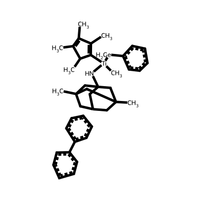 CC1=C(C)C(C)[C]([Ti]([CH3])([NH]C23CC4CC(C)(CC(C)(C4)C2)C3)[GeH2][c]2ccccc2)=C1C.c1ccc(-c2ccccc2)cc1